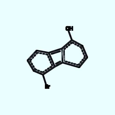 Oc1cccc2c1=c1cccc(Br)c1=2